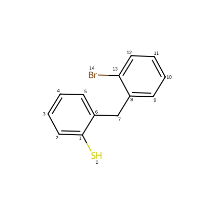 Sc1ccccc1Cc1ccccc1Br